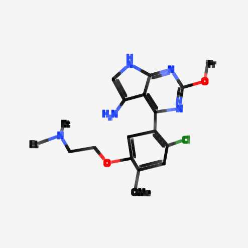 CCN(CC)CCOc1cc(-c2nc(OC(C)C)nc3[nH]cc(N)c23)c(Cl)cc1OC